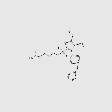 Cc1c(CC(C)C)sc(S(=O)(=O)CCCCOC(N)=O)c1-c1ccc(Cn2ccnc2)cc1